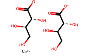 O=C([O-])[C@H](O)[C@H](O)CO.O=C([O-])[C@H](O)[C@H](O)CO.[Ca+2]